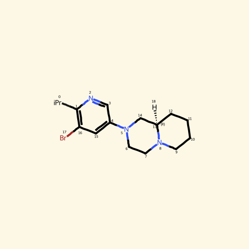 CC(C)c1ncc(N2CCN3CCCC[C@@H]3C2)cc1Br